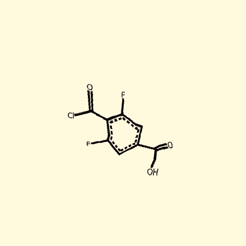 O=C(O)c1cc(F)c(C(=O)Cl)c(F)c1